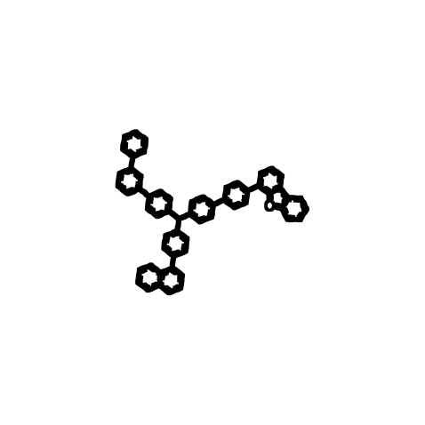 c1ccc(-c2cccc(-c3ccc(C(c4ccc(-c5ccc(-c6cccc7c6oc6ccccc67)cc5)cc4)c4ccc(-c5cccc6ccccc56)cc4)cc3)c2)cc1